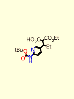 CCOC(=O)C(C(=O)O)C(CC)c1ccc(NC(=O)OC(C)(C)C)nc1